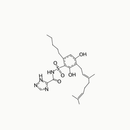 CCCCCc1cc(O)c(C/C=C(\C)CCC=C(C)C)c(O)c1S(=O)(=O)NC(=O)c1ncn[nH]1